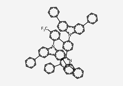 FC(F)(F)c1ccc(-c2cc(-c3cc(-c4ccccc4)nc(-c4ccccc4)n3)ccc2-n2c3ccc(-c4ccccc4)cc3c3cc(-c4ccccc4)ccc32)c(-n2c3ccc(-c4ccccc4)cc3c3cc(-c4ccccc4)ccc32)c1